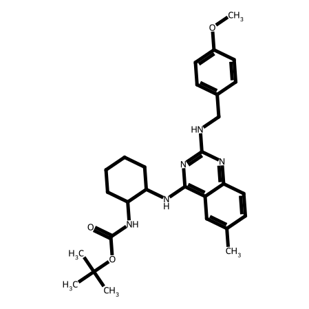 COc1ccc(CNc2nc(NC3CCCCC3NC(=O)OC(C)(C)C)c3cc(C)ccc3n2)cc1